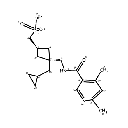 CCCS(=O)(=O)C[C@H]1C[C@@](CNC(=O)c2cnc(C)cc2C)(CC2CC2)C1